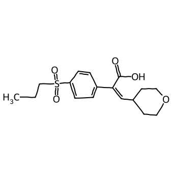 CCCS(=O)(=O)c1ccc(C(=CC2CCOCC2)C(=O)O)cc1